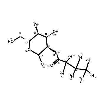 [2H]C([2H])([2H])C([2H])([2H])C([2H])([2H])C(=O)N[C@H]1C(O)O[C@H](CO)[C@@H](O)[C@@H]1O